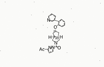 CC(=O)c1ccn(C(=O)N2C[C@H]3C[C@H](Oc4ccccc4-c4cccnc4)C[C@H]3C2)n1